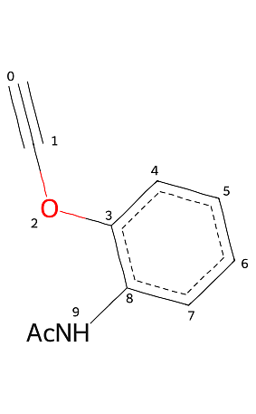 C#COc1ccccc1NC(C)=O